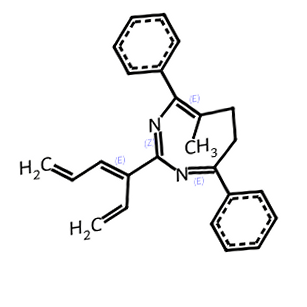 C=C/C=C(C=C)/C1=N/C(c2ccccc2)=C(\C)CC/C(c2ccccc2)=N\1